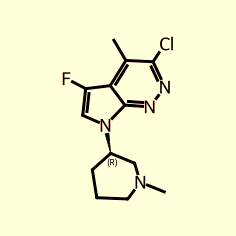 Cc1c(Cl)nnc2c1c(F)cn2[C@@H]1CCCN(C)C1